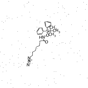 CC(C)(C)[Si](ONC(=O)CCCCCCN=[N+]=[N-])(c1ccccc1)c1ccccc1